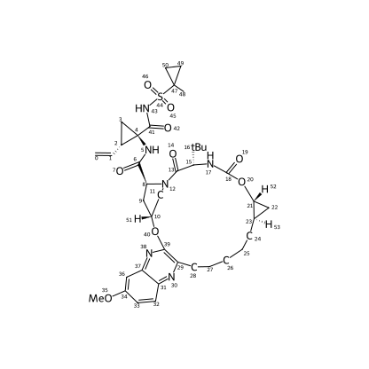 C=C[C@@H]1C[C@]1(NC(=O)[C@@H]1C[C@@H]2CN1C(=O)[C@H](C(C)(C)C)NC(=O)O[C@@H]1C[C@H]1CCCCCc1nc3ccc(OC)cc3nc1O2)C(=O)NS(=O)(=O)C1(C)CC1